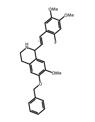 COc1cc(F)c(/C=C/C2NCCc3cc(OCc4ccccc4)c(OC)cc32)cc1OC